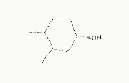 CC1CC[C@H](O)CC1C